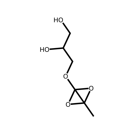 CC12OC1(OCC(O)CO)O2